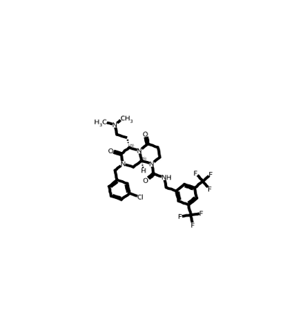 CN(C)CC[C@H]1C(=O)N(Cc2cccc(Cl)c2)C[C@@H]2N(C(=O)NCc3cc(C(F)(F)F)cc(C(F)(F)F)c3)CCC(=O)N21